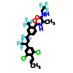 C/C=C/c1c(Cl)cc(C(/C=C(\F)c2ccc(C(=O)N[C@H](C)C(=O)NCC(F)(F)F)c(C(F)(F)F)c2)C(F)(F)F)cc1Cl